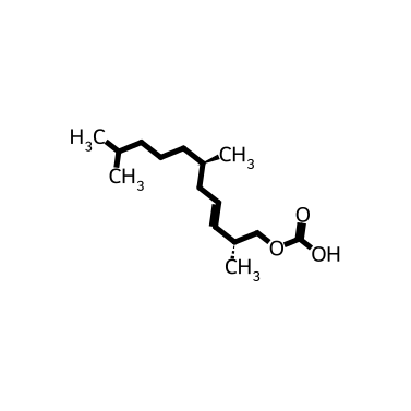 CC(C)CCC[C@@H](C)CC=C[C@@H](C)COC(=O)O